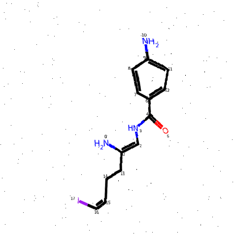 N/C(=C\NC(=O)c1ccc(N)cc1)CC/C=C\I